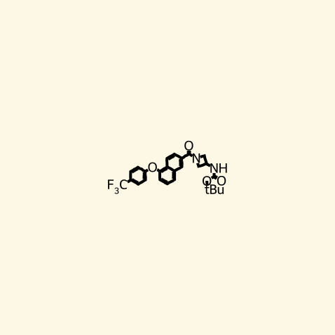 CC(C)(C)OC(=O)NC1CN(C(=O)c2ccc3c(Oc4ccc(C(F)(F)F)cc4)cccc3c2)C1